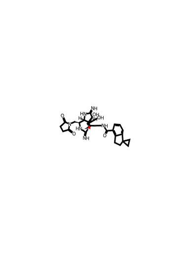 N=C1N[C@H]2[C@H](CN3C(=O)CCC3=O)NC(=N)N3CC(NC(=O)c4cccc5c4CCC54CC4)C(O)(O)C23N1